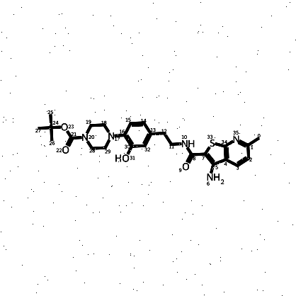 Cc1ccc2c(N)c(C(=O)NCCc3ccc(N4CCN(C(=O)OC(C)(C)C)CC4)c(O)c3)sc2n1